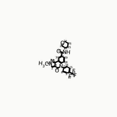 Cn1cc2c(=O)n(-c3ccc(C(F)(F)F)cc3)c3ccc(C(=O)N[C@H]4CCCOC4)cc3c2n1